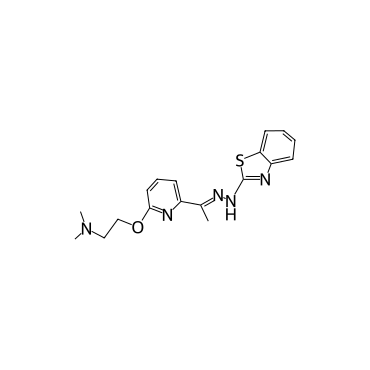 C/C(=N\Nc1nc2ccccc2s1)c1cccc(OCCN(C)C)n1